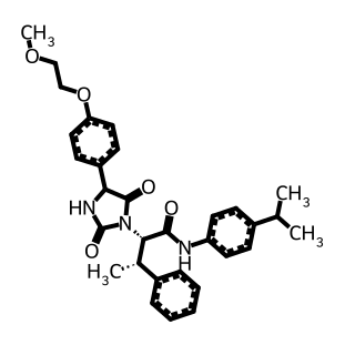 COCCOc1ccc(C2NC(=O)N([C@H](C(=O)Nc3ccc(C(C)C)cc3)[C@@H](C)c3ccccc3)C2=O)cc1